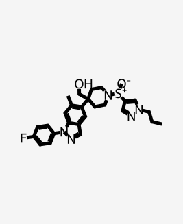 CCCn1cc([S+]([O-])N2CCC(CO)(c3cc4cnn(-c5ccc(F)cc5)c4cc3C)CC2)cn1